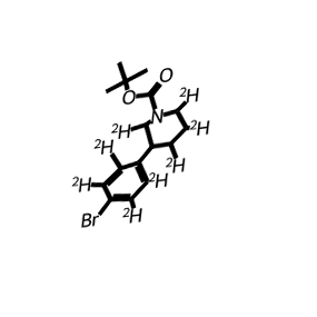 [2H]c1c([2H])c(C2C([2H])C([2H])C([2H])N(C(=O)OC(C)(C)C)C2[2H])c([2H])c([2H])c1Br